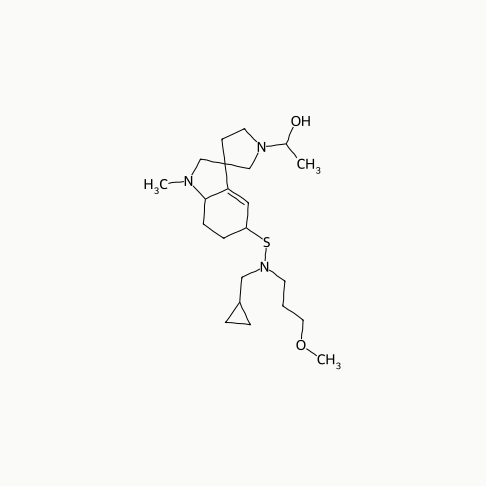 COCCCN(CC1CC1)SC1C=C2C(CC1)N(C)CC21CCN(C(C)O)C1